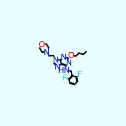 CCCCOc1nc(NCc2c(F)cccc2F)c2ncn(CCN3CCOCC3)c2n1